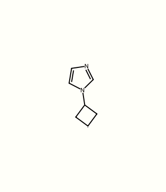 [CH]1CC(n2ccnc2)C1